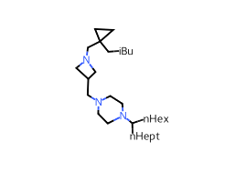 CCCCCCCC(CCCCCC)N1CCN(CC2CN(CC3(CC(C)CC)CC3)C2)CC1